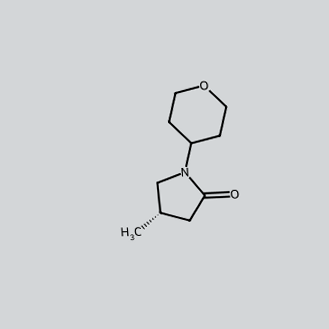 C[C@H]1CC(=O)N(C2CCOCC2)C1